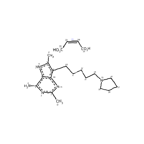 Cc1nc(N)c2[nH]c(C)c(CCCCCN3CCCC3)c2n1.O=C(O)/C=C\C(=O)O